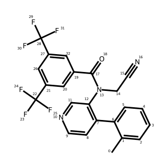 Cc1ccccc1-c1ccncc1N(CC#N)C(=O)c1cc(C(F)(F)F)cc(C(F)(F)F)c1